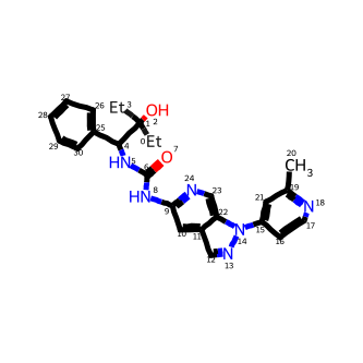 CCC(O)(CC)C(NC(=O)Nc1cc2cnn(-c3ccnc(C)c3)c2cn1)c1ccccc1